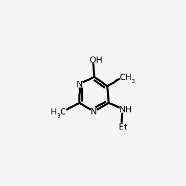 CCNc1nc(C)nc(O)c1C